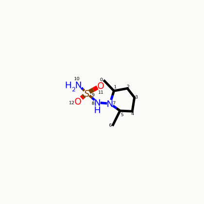 CC1CCCC(C)N1NS(N)(=O)=O